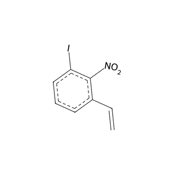 C=Cc1cccc(I)c1[N+](=O)[O-]